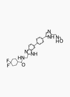 O=CNCc1ncc(-c2ccc(-c3ccc4nc(CNC(=O)C5CCC(F)(F)CC5)[nH]c4c3)cc2)[nH]1